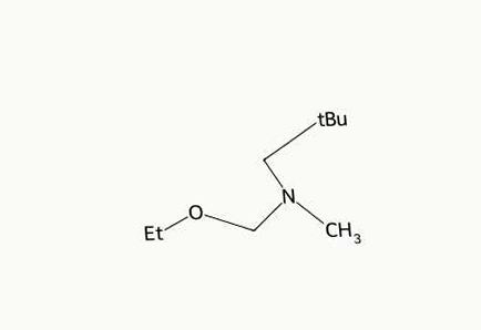 CCOCN(C)CC(C)(C)C